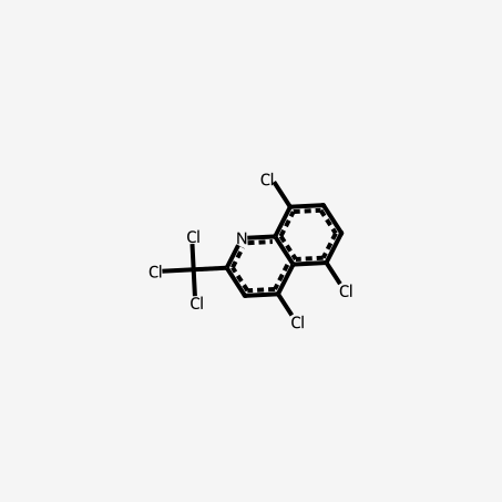 Clc1ccc(Cl)c2c(Cl)cc(C(Cl)(Cl)Cl)nc12